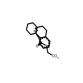 O=C(OCC(Cl)(Cl)Cl)N1CCC23CCCCC12c1ccccc1CC3